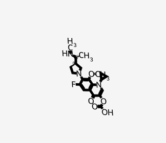 CN[C@H](C)[C@@H]1CCN(c2c(F)cc3c(=O)c(OC(=O)O)cn(C4CC4)c3c2OC)C1